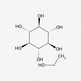 CCO.O[C@H]1[C@H](O)[C@@H](O)[C@H](O)[C@@H](O)[C@@H]1O